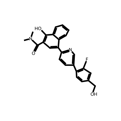 CN(C)C(=O)c1cc(-c2ccc(-c3ccc(CO)cc3F)cn2)c2ccccc2c1O